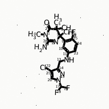 CN1C(=O)C(C)(C)C(C)(c2cc(NCc3nn(C(F)F)cc3Cl)ccc2F)N=C1N